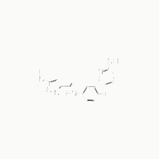 C[C@@]1(c2cc(NC(=O)c3cc4n(n3)CCN4)ccc2F)C=CSC(N)=N1